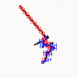 CCCCCCCC[C@H](NC(=O)[C@@H]1CCCN1C(=O)CCOCCOCCOCCOCCOCCOCCOCCOCCOCCOCCOCCOC)C(=O)N[C@@H](CC(C)C)C(O)NC(C)(C)C(=O)N[C@@H](CC(C)C)C(=O)N[C@@H](CC(C)C)C(=O)NC(C)(C)C(=O)NC(C)(C)C(=O)NCCC(=O)N[C@@H](C)CN(C)C